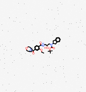 CCOc1cc(C(=O)N2C3CCC2COC3)ccc1C(=O)NC[C@@H](O)CN(C(=O)OC(C)(C)C)C1Cc2ccccc2C1